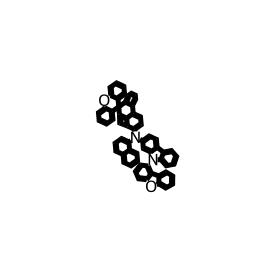 c1ccc2c(c1)Oc1ccccc1C21c2ccccc2-c2ccc(N(c3ccc4c5ccccc5n(-c5cccc6oc7ccccc7c56)c4c3)c3cccc4ccccc34)c3cccc1c23